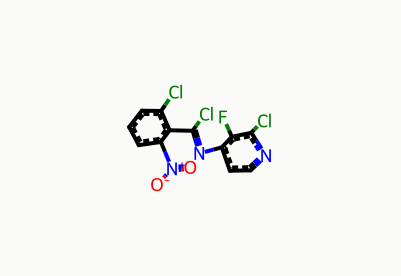 O=[N+]([O-])c1cccc(Cl)c1C(Cl)=Nc1ccnc(Cl)c1F